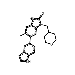 Cc1nc2[nH]c(=O)n(CC3CCOCC3)c2cc1-c1ccc2[nH]ccc2c1